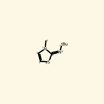 Cn1ccs/c1=N/C(C)(C)C